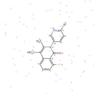 Cc1c(C(=O)O)c2cccc(F)c2c(=O)n1-c1ccc(Br)nc1